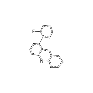 Fc1ccccc1-c1cccc2nc3ccccc3cc12